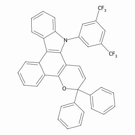 FC(F)(F)c1cc(-n2c3ccccc3c3c4ccccc4c4c(c32)C=CC(c2ccccc2)(c2ccccc2)O4)cc(C(F)(F)F)c1